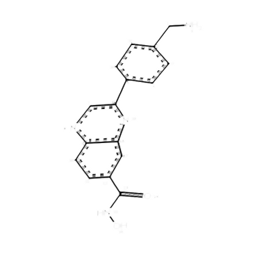 NCc1ccc(-c2cnc3ccc(C(=O)NO)cc3n2)cc1